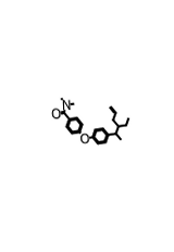 C=CCC(CC)C(C)c1ccc(Oc2ccc(C(=O)N(C)C)cc2)cc1